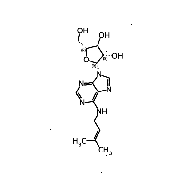 CC(C)=CCNc1ncnc2c1ncn2[C@@H]1O[C@H](CO)C(O)[C@@H]1O